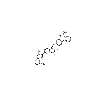 Cc1c(C)n(Cc2ccc(-c3ccccc3C(=O)O)cc2)c2ccc(C(=O)NC(C)c3cccc(Br)c3)cc12